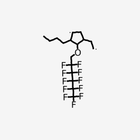 [CH2]CC1C[CH]C(CCCC)C1OCC(F)(F)C(F)(F)C(F)(F)C(F)(F)C(F)(F)F